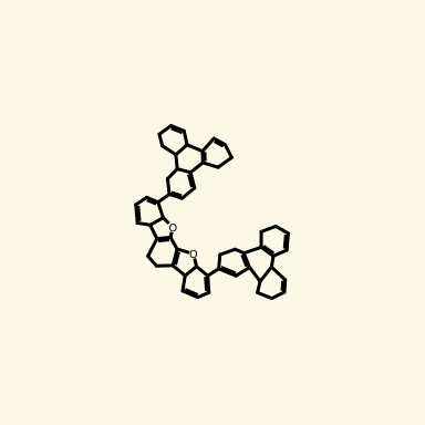 C1=CC2C3=C(OC2C(C2=CC4=C(CC2)C2=C(C=CCC2)C2C=CCCC42)=C1)C1=C(CC3)C2C=CC=C(C3=CC=C4C5=C(C=CCC5)C5C=CCCC5C4C3)C2O1